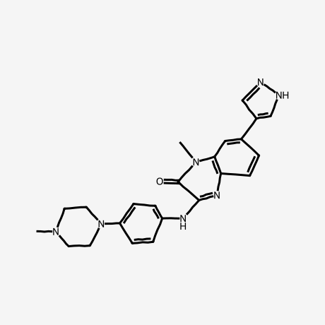 CN1CCN(c2ccc(Nc3nc4ccc(-c5cn[nH]c5)cc4n(C)c3=O)cc2)CC1